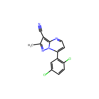 Cc1nn2c(-c3cc(Cl)ccc3Cl)ccnc2c1C#N